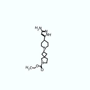 CCOC(=O)N1CCC2(CC(N3CCC(c4cc(N)n[nH]4)CC3)C2)C1